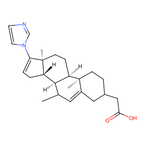 CC1C=C2CC(CC(=O)O)CC[C@]2(C)[C@@H]2CC[C@]3(C)C(n4ccnc4)=CC[C@H]3[C@H]12